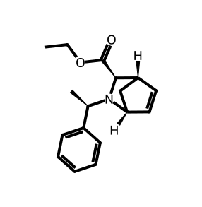 CCOC(=O)[C@H]1[C@@H]2C=C[C@@H](C2)N1[C@H](C)c1ccccc1